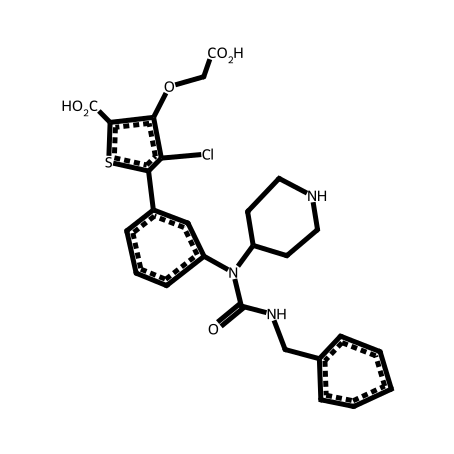 O=C(O)COc1c(C(=O)O)sc(-c2cccc(N(C(=O)NCc3ccccc3)C3CCNCC3)c2)c1Cl